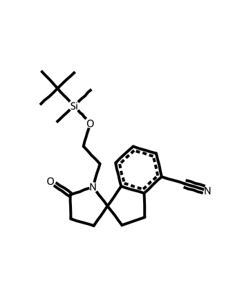 CC(C)(C)[Si](C)(C)OCCN1C(=O)CCC12CCc1c(C#N)cccc12